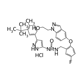 Cc1ccc(-c2cc(NC(=O)NCc3cc(F)ccc3Oc3ccc4c(cnn4CCO)c3)[nH]n2)cc1C(C)(C)C.Cl